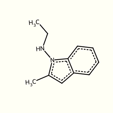 CCNn1c(C)cc2ccccc21